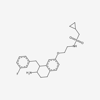 NC1CCc2ccc(OCCNS(=O)(=O)CC3CC3)cc2C1Cc1cccc(F)c1